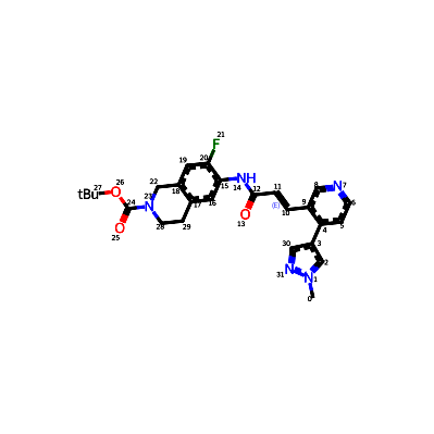 Cn1cc(-c2ccncc2/C=C/C(=O)Nc2cc3c(cc2F)CN(C(=O)OC(C)(C)C)CC3)cn1